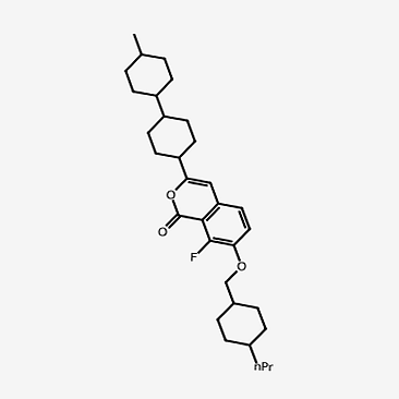 CCCC1CCC(COc2ccc3cc(C4CCC(C5CCC(C)CC5)CC4)oc(=O)c3c2F)CC1